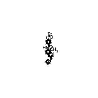 CCC(=O)Oc1ccc(C(=O)Nc2ccc3cc(CN4CCCC4)cnc3c2C)cc1